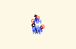 Cc1ccc(C(=O)Nc2cc(C(C)(C)C)on2)cc1Nc1ncnc2cnc(N(C)C3CCOC3)nc12